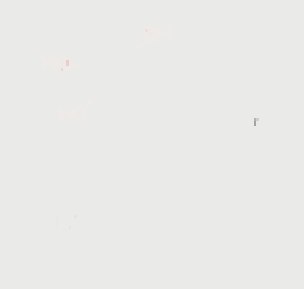 CCC1(CCCCc2c(O)cc(O)c(O)c2CCCCCC2(C)CC2)CC1